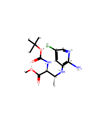 COC(=O)[C@@H](NC(=O)OC(C)(C)C)[C@@H](C)Nc1cc(Br)cnc1N